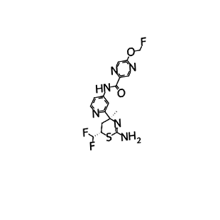 C[C@@]1(c2cc(NC(=O)c3cnc(OCF)cn3)ccn2)C[C@@H](C(F)F)SC(N)=N1